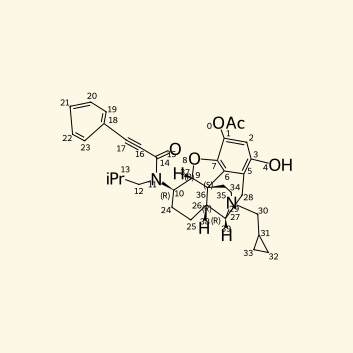 CC(=O)Oc1cc(O)c2c3c1O[C@H]1[C@H](N(CC(C)C)C(=O)C#Cc4ccccc4)CC[C@H]4[C@@H](C2)N(CC2CC2)CC[C@@]341